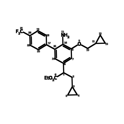 CCOC(=O)C(CC1CC1)c1cc(OCC2CC2)c(N)c(-c2ccc(C(F)(F)F)cc2)c1